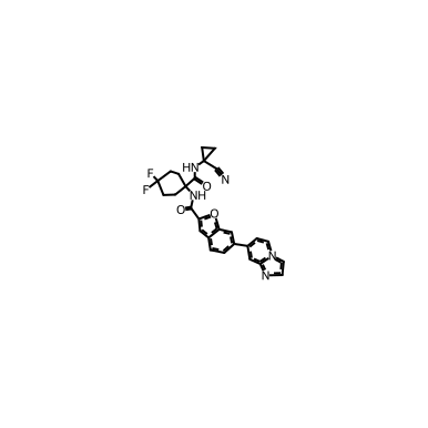 N#CC1(NC(=O)C2(NC(=O)c3cc4ccc(-c5ccn6ccnc6c5)cc4o3)CCC(F)(F)CC2)CC1